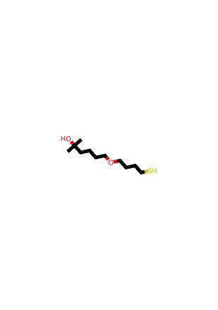 CC(C)(O)CCCCOCCCCS